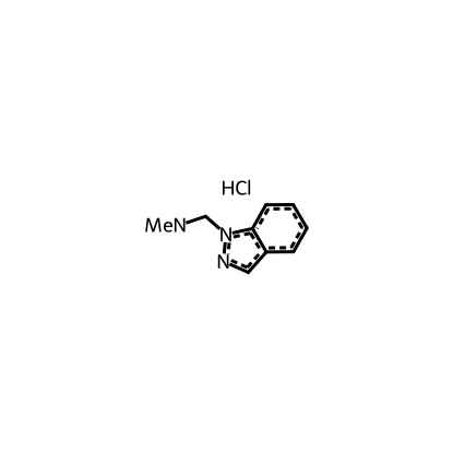 CNCn1ncc2ccccc21.Cl